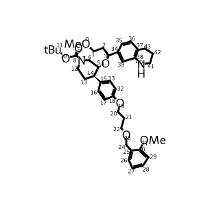 COCCC(O[C@H]1CN(C(=O)OC(C)(C)C)CC[C@@H]1c1ccc(OCCCOCc2ccccc2OC)cc1)c1ccc2c(c1)NCCC2